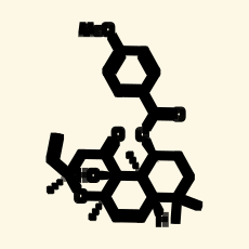 C=C[C@@]1(C)CC(=O)[C@]2(O)[C@@]3(C)[C@@H](OC(=O)c4ccc(OC)cc4)CCC(C)(C)[C@@H]3C=C[C@@]2(C)O1